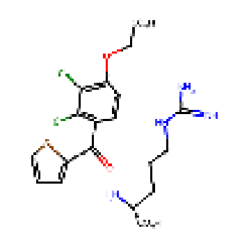 N=C(N)NCCC[C@H](N)C(=O)O.O=C(O)COc1ccc(C(=O)c2cccs2)c(Cl)c1Cl